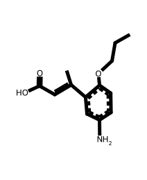 CCCOc1ccc(N)cc1C(C)=CC(=O)O